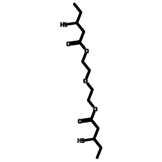 CCC(S)CC(=O)OCCOCCOC(=O)CC(S)CC